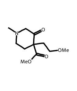 COCCC1(C(=O)OC)CCN(C)CC1=O